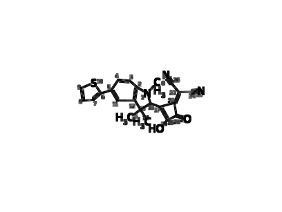 CN1c2ccc(-c3cccs3)cc2C(C)(C)C1C1=C(O)C(=O)C1=C(C#N)C#N